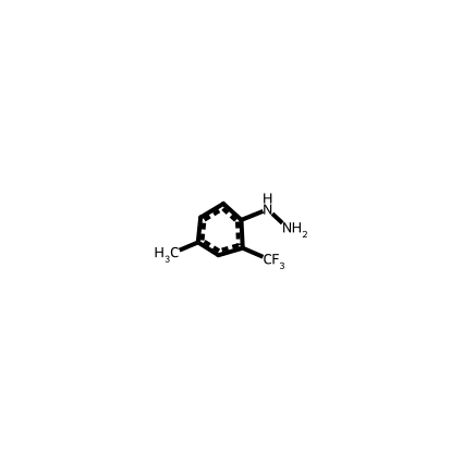 Cc1ccc(NN)c(C(F)(F)F)c1